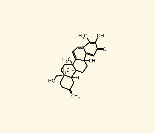 C=C1CC[C@]2(CO)CC[C@]3(C)C4=CC=C5C(=CC(=O)C(O)=C5C)[C@]4(C)CC[C@@]3(C)[C@@H]2C1